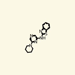 c1ccc2sc(Nc3cncc(N4CCCCC4)n3)nc2c1